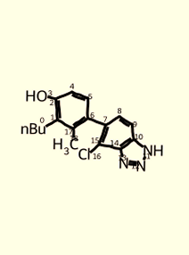 CCCCc1c(O)ccc(-c2ccc3[nH]nnc3c2Cl)c1C